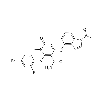 CC(=O)n1ccc2c(Oc3cc(=O)n(C)c(Nc4ccc(Br)cc4F)c3C(N)=O)cccc21